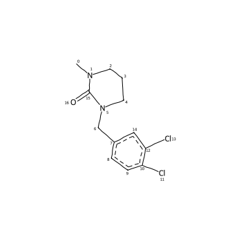 CN1CCCN(Cc2ccc(Cl)c(Cl)c2)C1=O